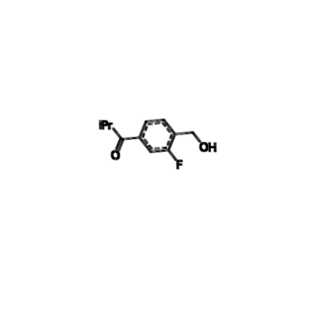 CC(C)C(=O)c1ccc(CO)c(F)c1